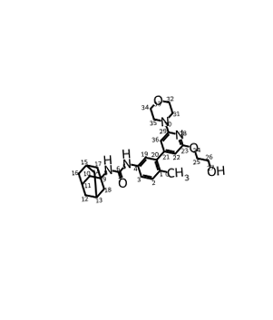 Cc1ccc(NC(=O)NC23CC4CC(CC(C4)C2)C3)cc1-c1cc(OCCO)nc(N2CCOCC2)c1